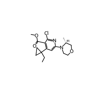 CCC1(c2cc(N3CCOC[C@H]3C)nc(Cl)c2C(=O)OC)CC1